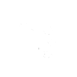 CC(C)n1ncnc1-c1nc2c(s1)CCOc1ccc(C3CN(CC(N)=O)C3)cc1-2